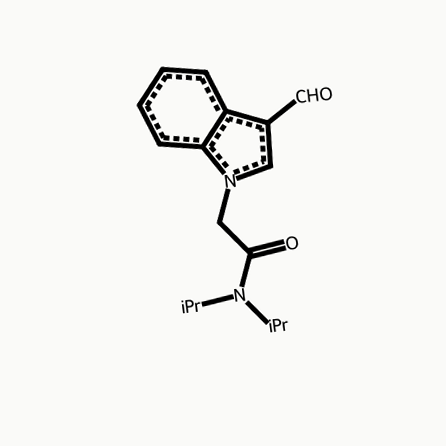 CC(C)N(C(=O)Cn1cc(C=O)c2ccccc21)C(C)C